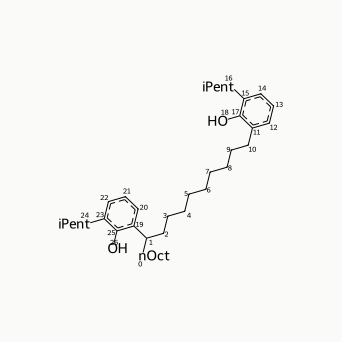 CCCCCCCCC(CCCCCCCCCc1cccc(C(C)CCC)c1O)c1cccc(C(C)CCC)c1O